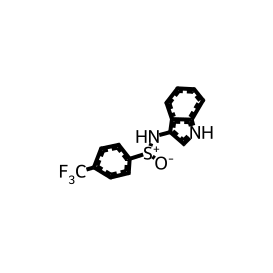 [O-][S+](Nc1c[nH]c2ccccc12)c1ccc(C(F)(F)F)cc1